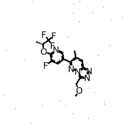 COCc1nnc2cc(C)c(-c3cnc(O[C@@H](C)C(F)(F)F)c(F)c3)nn12